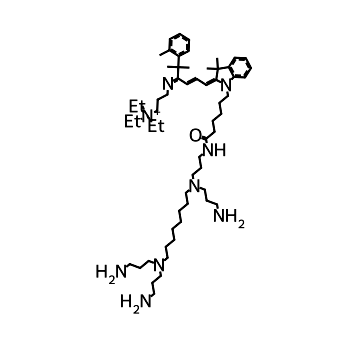 CC[N+](CC)(CC)CCC\N=C(/C=C/C=C1/N(CCCCCC(=O)NCCCN(CCCN)CCCCCCCCN(CCCN)CCCN)c2ccccc2C1(C)C)C(C)(C)c1ccccc1C